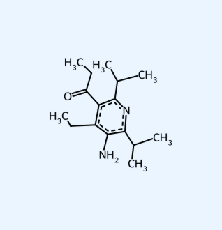 CCC(=O)c1c(C(C)C)nc(C(C)C)c(N)c1CC